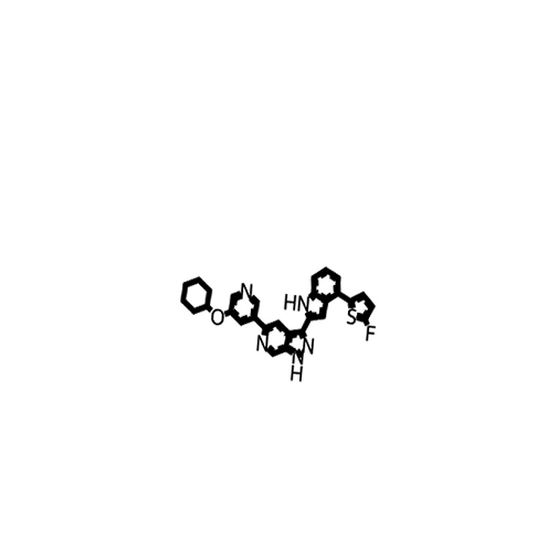 Fc1ccc(-c2cccc3[nH]c(-c4n[nH]c5cnc(-c6cncc(OC7CCCCC7)c6)cc45)cc23)s1